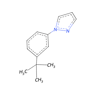 CC(C)(C)c1cccc(-n2cccn2)c1